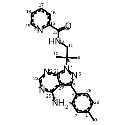 Cc1ccc(-c2nn(C(C)(C)CNC(=O)c3ccccn3)c3ncnc(N)c23)cc1